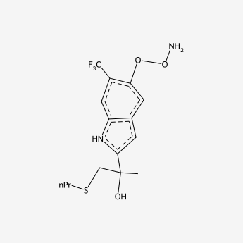 CCCSCC(C)(O)c1cc2cc(OON)c(C(F)(F)F)cc2[nH]1